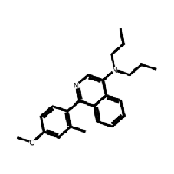 CCCN(CCC)c1cnc(-c2ccc(OC)cc2C)c2ccccc12